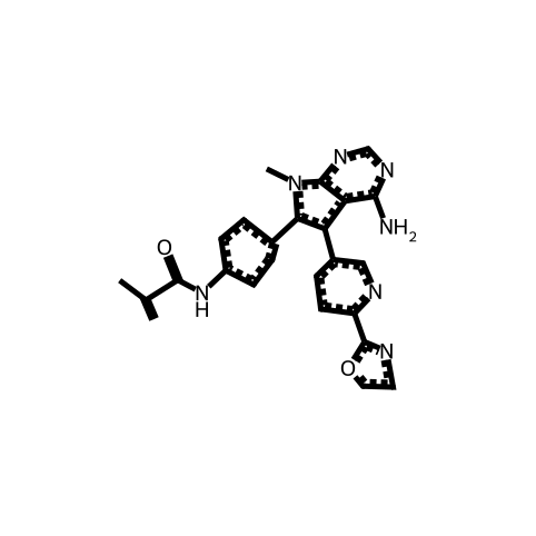 C=C(C)C(=O)Nc1ccc(-c2c(-c3ccc(-c4ncco4)nc3)c3c(N)ncnc3n2C)cc1